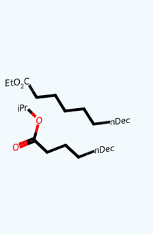 CCCCCCCCCCCCCC(=O)OC(C)C.CCCCCCCCCCCCCCCC(=O)OCC